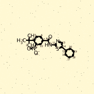 CC(C)(C)c1ccc(C(=O)Nc2ncc(-c3ccccc3)s2)cc1[N+](=O)[O-]